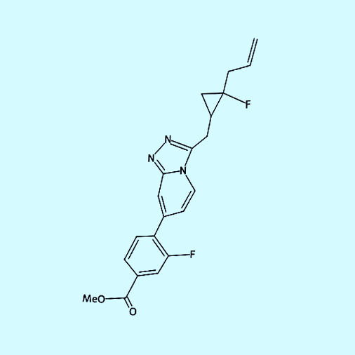 C=CCC1(F)CC1Cc1nnc2cc(-c3ccc(C(=O)OC)cc3F)ccn12